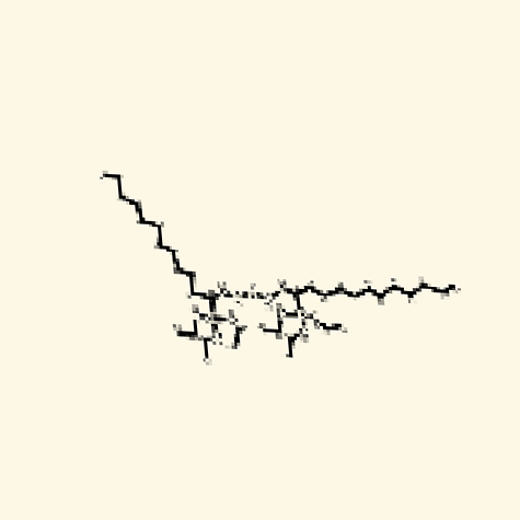 CCCCCCCCCCCC(SSSSSC(CCCCCCCCCCC)[Si](OCC)(OCC)OCC)[Si](OCC)(OCC)OCC